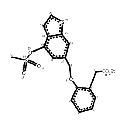 CCOC(=O)Cc1ccccc1OCc1cc(OS(C)(=O)=O)c2ccsc2c1